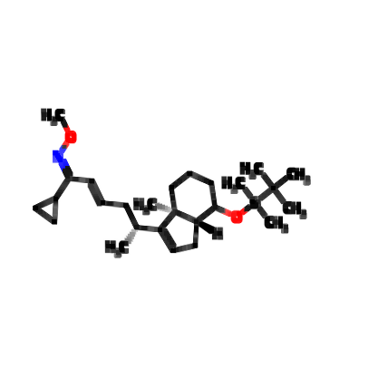 CO/N=C(\C=C\C[C@@H](C)C1=CC[C@H]2C(O[Si](C)(C)C(C)(C)C)CCC[C@]12C)C1CC1